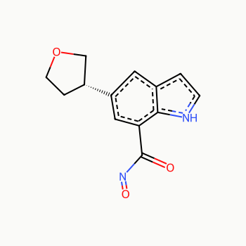 O=NC(=O)c1cc([C@@H]2CCOC2)cc2cc[nH]c12